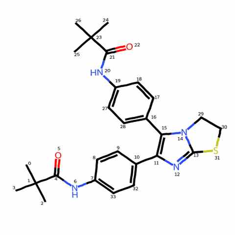 CC(C)(C)C(=O)Nc1ccc(-c2nc3n(c2-c2ccc(NC(=O)C(C)(C)C)cc2)CCS3)cc1